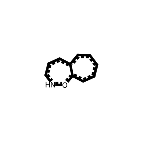 c1ccc2ccc[nH]oc-2cc1